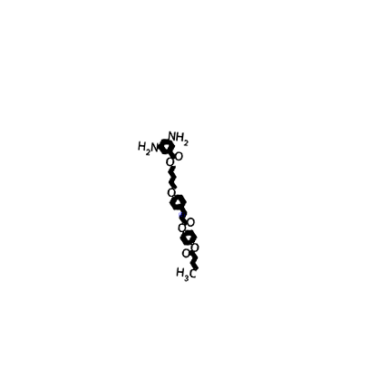 CCCCC(=O)Oc1ccc(OC(=O)/C=C/c2ccc(OCCCCCOC(=O)c3cc(N)cc(N)c3)cc2)cc1